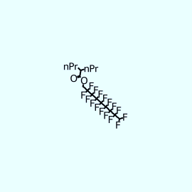 CCCC(CCC)C(=O)OCC(F)(F)C(F)(F)C(F)(F)C(F)(F)C(F)(F)C(F)(F)C(F)(F)C(F)F